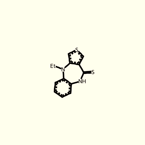 CCN1c2ccccc2NC(=S)c2cscc21